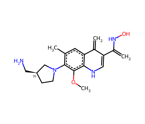 C=C(NO)C1=CNc2c(cc(C)c(N3CC[C@@H](CN)C3)c2OC)C1=C